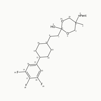 CCCCCC1(C)COC(O)(CCC2CCC(c3cc(F)c(F)c(F)c3)CC2)OC1